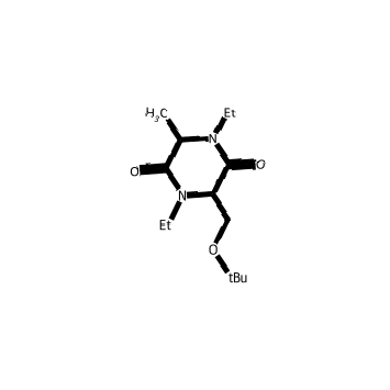 CCN1C(=O)C(COC(C)(C)C)N(CC)C(=O)C1C